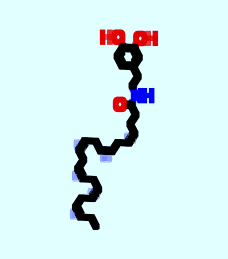 CC/C=C\C/C=C\C/C=C\C/C=C\C/C=C\C/C=C\CCC(=O)NCCc1ccc(O)c(O)c1